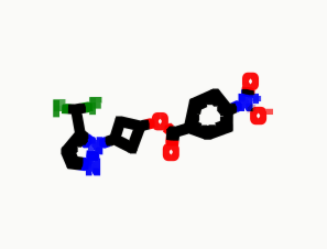 O=C(OC1CC(n2nccc2C(F)F)C1)c1ccc([N+](=O)[O-])cc1